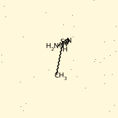 CCCCCCCCCCCCCCCC=CN(CCN)C(=S)NN1C=NCC1